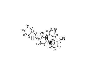 CCCCc1cc(C)c(NCc2ccccc2)c(=O)n1-c1ccccc1-c1ccccc1C#N